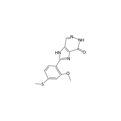 COc1cc(SC)ccc1-c1nc2c(=O)[nH]ncc2[nH]1